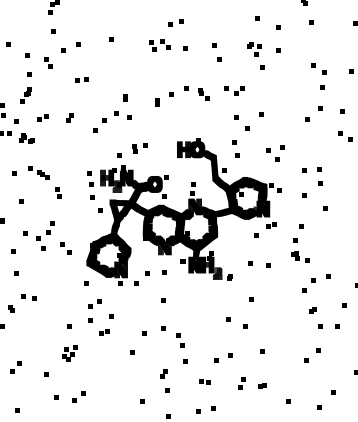 NC(=O)C1(c2cnc3c(N)cc(-c4cnccc4CCO)nc3c2)CC1c1cccnc1